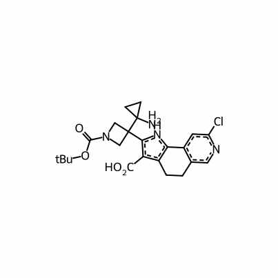 CC(C)(C)OC(=O)N1CC(c2[nH]c3c(c2C(=O)O)CCc2cnc(Cl)cc2-3)(C2(N)CC2)C1